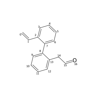 C=Cc1ccccc1-c1ccccc1CC=O